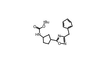 CC(C)(C)OC(=O)NC1CCC(c2nc(Cc3ccccc3)no2)C1